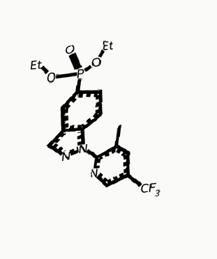 CCOP(=O)(OCC)c1ccc2c(cnn2-c2ncc(C(F)(F)F)cc2C)c1